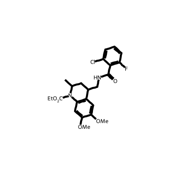 CCOC(=O)N1c2cc(OC)c(OC)cc2C(CNC(=O)c2c(F)cccc2Cl)CC1C